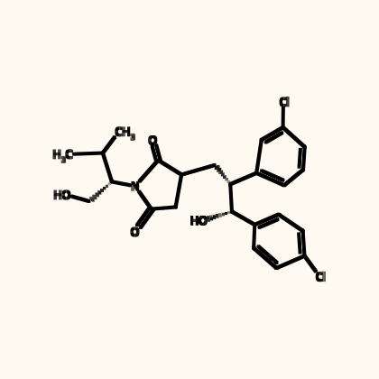 CC(C)[C@@H](CO)N1C(=O)CC(C[C@H](c2cccc(Cl)c2)[C@@H](O)c2ccc(Cl)cc2)C1=O